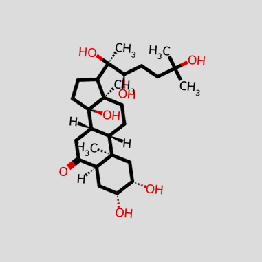 CC(C)(O)CC[C@@H](O)[C@](C)(O)C1CC[C@@]2(O)[C@H]3CC(=O)[C@@H]4C[C@@H](O)[C@@H](O)C[C@]4(C)[C@H]3CC[C@]12C